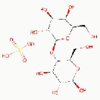 O=S(=O)(O)O.OC[C@H]1O[C@@H](O[C@H]2[C@H](O)[C@@H](O)[C@H](O)O[C@@H]2CO)[C@H](O)[C@@H](O)[C@H]1O